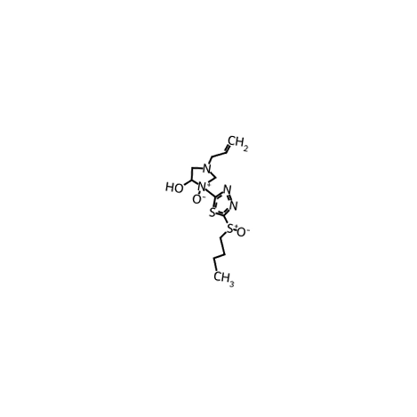 C=CCN1CC(O)[N+]([O-])(c2nnc([S+]([O-])CCCC)s2)C1